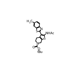 CC(=O)Nc1sc2c(c1-c1nc3ccc(C)cc3s1)CCN(C(=O)OC(C)(C)C)C2